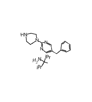 CC(C)C(C)(N)C(C)C.c1ccc(Cc2cnc(N3CCNCC3)nc2)cc1